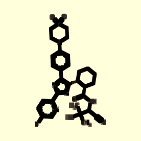 CC(C)(O)C(C#N)NC(=O)[C@@H]1CCCC[C@H]1c1nc(-c2ccc(F)cn2)sc1-c1ccc(N2CCS(=O)(=O)CC2)cc1